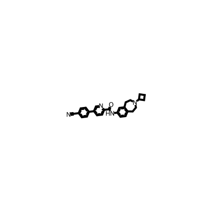 N#Cc1ccc(-c2ccc(C(=O)Nc3ccc4c(c3)CCN(C3CCC3)CC4)nc2)cc1